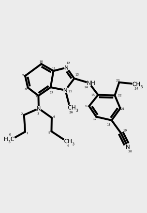 CCCN(CCC)c1cccc2nc(Nc3ccc(C#N)cc3CC)n(C)c12